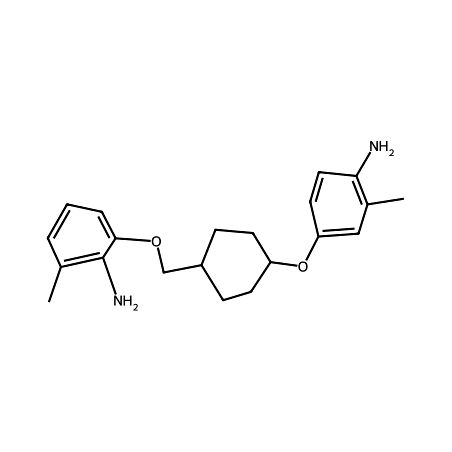 Cc1cc(OC2CCC(COc3cccc(C)c3N)CC2)ccc1N